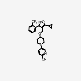 N#Cc1ccc(N2CCC(OCc3c(-c4ccccc4C(F)(F)F)noc3C3CC3)CC2)cn1